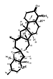 BC1C(=O)CC[C@@]2(C)[C@@H]1CC[C@H]1[C@@H]3CC[C@@]4(CC(C)=C3C[C@@H]12)O[C@@H]1C[C@H](C)CN[C@H]1[C@H]4C